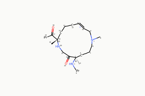 CC(C)N[C@]1(C)CCCN(C)C/C=C/CCC[C@@](C)(C(=O)C(C)C)NCC1=O